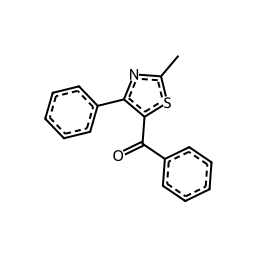 Cc1nc(-c2ccccc2)c(C(=O)c2ccccc2)s1